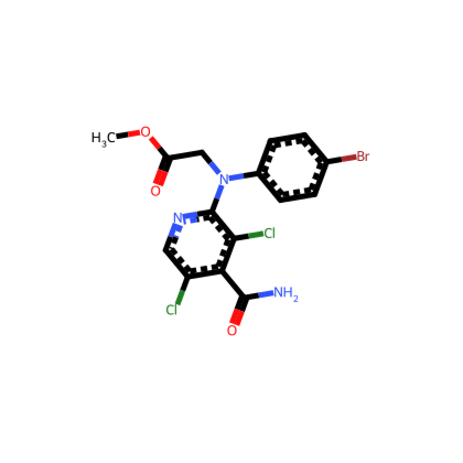 COC(=O)CN(c1ccc(Br)cc1)c1ncc(Cl)c(C(N)=O)c1Cl